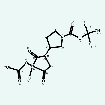 CC(C)(C)OC(=O)N1CCC([C@H]2CC(=O)[N+](O)(OC(=O)[O-])C2=O)C1